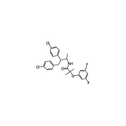 CC(NC(=O)C(C)(C)Oc1cc(F)cc(F)c1)C(Cc1ccc(Cl)cc1)c1ccc(Cl)cc1